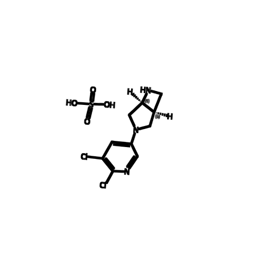 Clc1cc(N2C[C@@H]3CN[C@@H]3C2)cnc1Cl.O=S(=O)(O)O